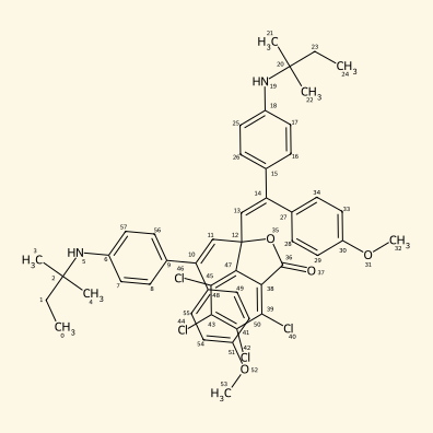 CCC(C)(C)Nc1ccc(/C(=C/C2(/C=C(/c3ccc(NC(C)(C)CC)cc3)c3ccc(OC)cc3)OC(=O)c3c(Cl)c(Cl)c(Cl)c(Cl)c32)c2ccc(OC)cc2)cc1